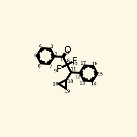 O=C(c1ccccc1)C(F)(F)C(c1ccccc1)C1CC1